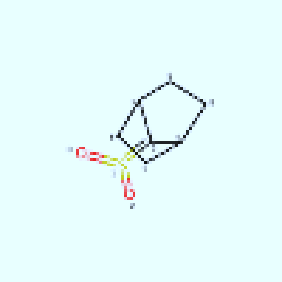 O=S(=O)=C1C2CCC1CC2